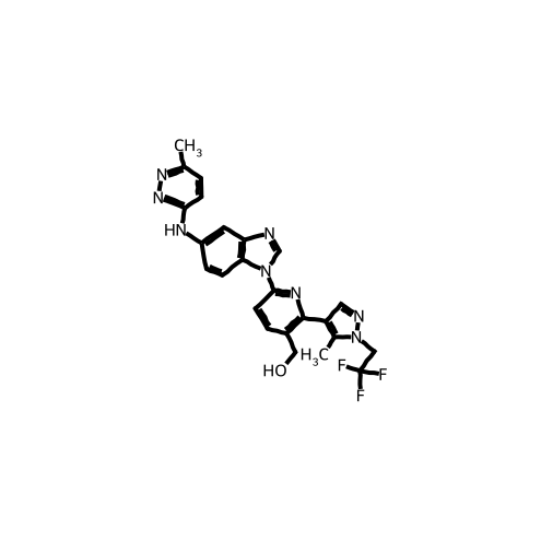 Cc1ccc(Nc2ccc3c(c2)ncn3-c2ccc(CO)c(-c3cnn(CC(F)(F)F)c3C)n2)nn1